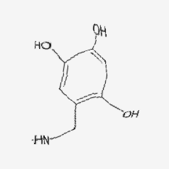 [NH]Cc1cc(O)c(O)cc1O